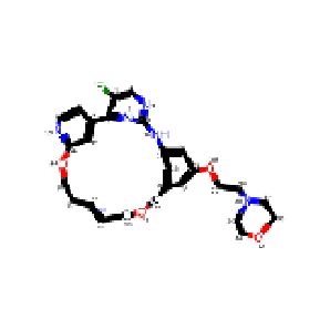 Fc1cnc2nc1-c1ccnc(c1)OCC/C=C/COCc1cc(cc(OCCN3CCOCC3)c1)N2